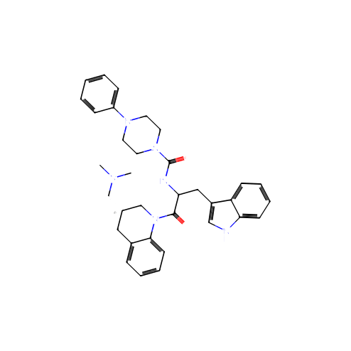 CN(C)C[C@H]1Cc2ccccc2N(C(=O)C(Cc2c[nH]c3ccccc23)NC(=O)N2CCN(c3ccccc3)CC2)C1